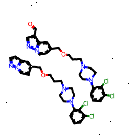 Clc1cccc(N2CCN(CCCOCc3ccn4nccc4c3)CC2)c1Cl.O=Cc1cnn2ccc(COCCCN3CCN(c4cccc(Cl)c4Cl)CC3)cc12